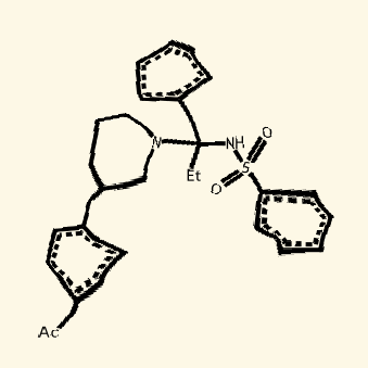 CCC(NS(=O)(=O)c1ccccc1)(c1ccccc1)N1CCCC(c2ccc(C(C)=O)cc2)C1